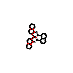 c1ccc(-c2nc(-c3ccccc3)nc(-c3cccc4cccc(-c5nc(-c6ccccc6)nc(-c6ccccc6)n5)c34)n2)cc1